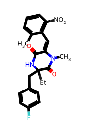 CCC1(Cc2ccc(F)cc2)NC(=O)/C(=C\c2c(C)cccc2[N+](=O)[O-])N(C)C1=O